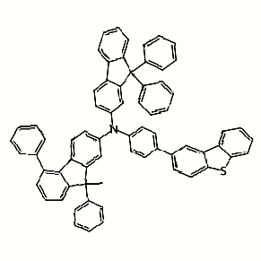 CC1(c2ccccc2)c2cc(N(c3ccc(-c4ccc5sc6ccccc6c5c4)cc3)c3ccc4c(c3)C(c3ccccc3)(c3ccccc3)c3ccccc3-4)ccc2-c2c(-c3ccccc3)cccc21